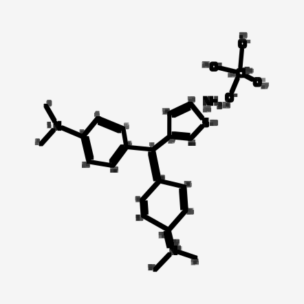 CN(C)c1ccc(C(=C2C=CC(=[N+](C)C)C=C2)c2ccsc2)cc1.N.[O-][Cl+3]([O-])([O-])[O-]